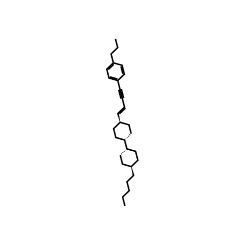 CCCCC[C@H]1CC[C@H]([C@H]2CC[C@H](C=CC#Cc3ccc(CCC)cc3)CC2)CC1